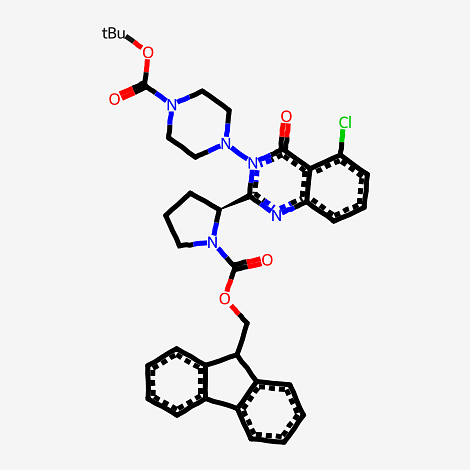 CC(C)(C)OC(=O)N1CCN(n2c([C@@H]3CCCN3C(=O)OCC3c4ccccc4-c4ccccc43)nc3cccc(Cl)c3c2=O)CC1